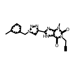 C#CCn1c(=O)c2[nH]c(-c3cn(Cc4cccc(C)c4)nn3)nc2n(C)c1=O